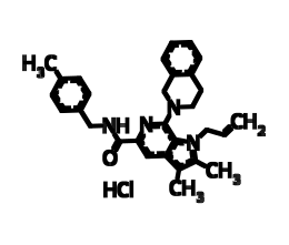 C=CCn1c(C)c(C)c2cc(C(=O)NCc3ccc(C)cc3)nc(N3CCc4ccccc4C3)c21.Cl